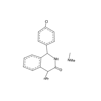 CCCC1C(=O)NC(c2ccc(Cl)cc2)c2ccccc21.CNC